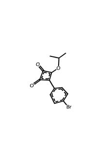 CC(C)Oc1c(-c2ccc(Br)cc2)c(=O)c1=O